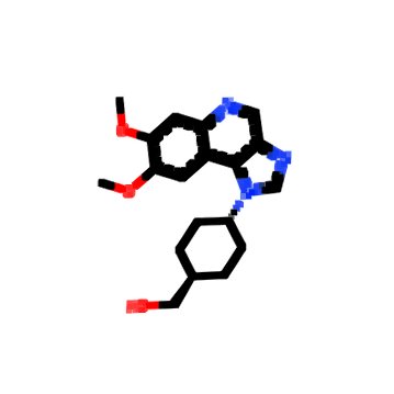 COc1cc2ncc3ncn([C@H]4CC[C@H](CO)CC4)c3c2cc1OC